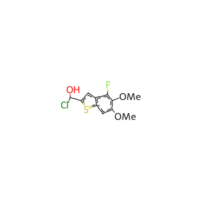 COc1cc2sc(C(O)Cl)cc2c(F)c1OC